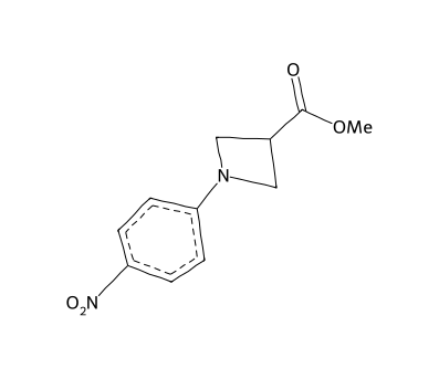 COC(=O)C1CN(c2ccc([N+](=O)[O-])cc2)C1